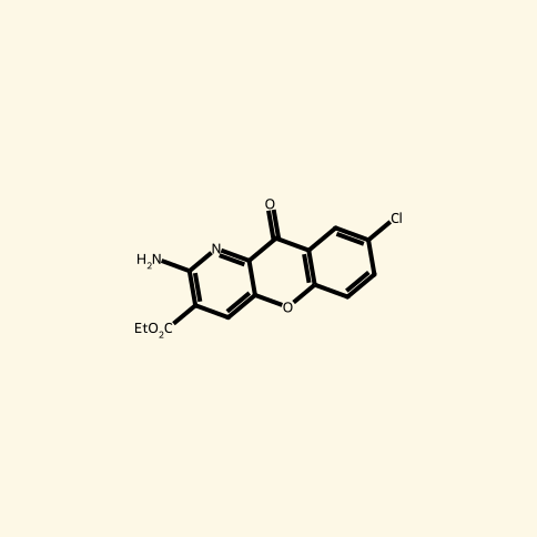 CCOC(=O)c1cc2oc3ccc(Cl)cc3c(=O)c2nc1N